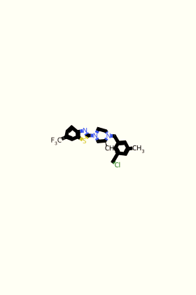 Cc1cc(CCl)cc(CN2CCN(c3nc4ccc(C(F)(F)F)cc4s3)C[C@H]2C)c1